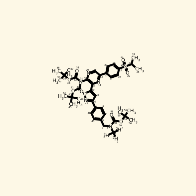 [2H]C([2H])([2H])N(Cc1ccc(-c2cc(-c3nc(-c4ccc(S(=O)(=O)C(C)C)cc4)cnc3N(C(=O)OC(C)(C)C)C(=O)OC(C)(C)C)on2)cc1)C(=O)OC(C)(C)C